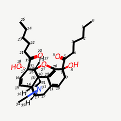 CCCCCC(=O)C1(O)CC=C2C[C@@H]3[C@@H]4C=C[C@@](O)(C(=O)CCCCC)[C@@H]5OC1=C2[C@@]54CCN3C